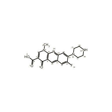 Cn1cc(C(=O)O)c(=O)c2cc3cc(F)c(N4CCNCC4)cc3nc21